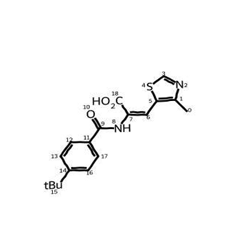 Cc1ncsc1/C=C(/NC(=O)c1ccc(C(C)(C)C)cc1)C(=O)O